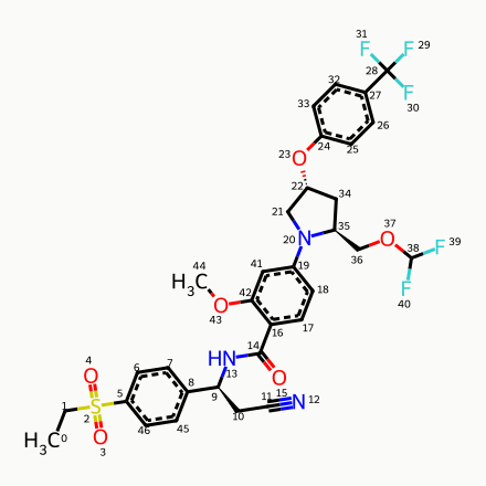 CCS(=O)(=O)c1ccc([C@H](CC#N)NC(=O)c2ccc(N3C[C@H](Oc4ccc(C(F)(F)F)cc4)C[C@H]3COC(F)F)cc2OC)cc1